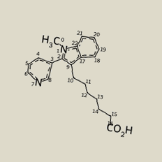 Cn1c(-c2cccnc2)c(CCCCCCC(=O)O)c2ccccc21